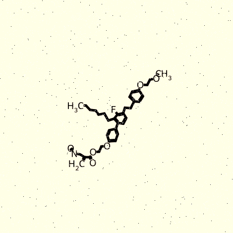 C=C(CN=O)C(=O)OCCOc1ccc(-c2ccc(CCc3ccc(OCCOC)cc3)c(F)c2CCCCCCC)cc1